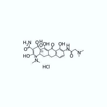 CN(C)CC(=O)Nc1ccc2c(c1O)C(=O)C1=C(O)[C@]3(O)C(=O)C(C(N)=O)=C(O)[C@@H](N(C)C)C3CC1C2.Cl